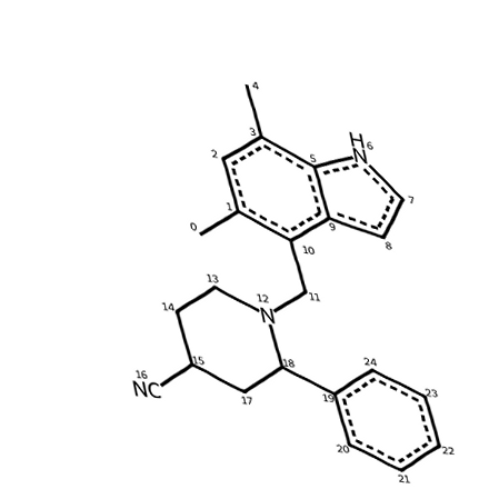 Cc1cc(C)c2[nH]ccc2c1CN1CCC(C#N)CC1c1ccccc1